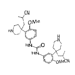 COc1ccc(NC(=O)Nc2ccc(OC)c(C3(CC(C)C#N)CCNCC3)c2)cc1C1(CC(C)C#N)CCNCC1